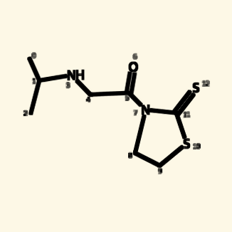 CC(C)NCC(=O)N1CCSC1=S